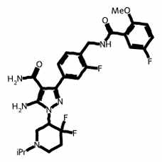 COc1ccc(F)cc1C(=O)NCc1ccc(-c2nn(C3CN(C(C)C)CCC3(F)F)c(N)c2C(N)=O)cc1F